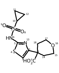 O=C(O)C1(c2csc(NS(=O)(=O)C3CC3)n2)CCOCC1